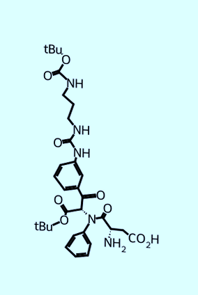 CC(C)(C)OC(=O)NCCCNC(=O)Nc1cccc(C(=O)[C@@H](C(=O)OC(C)(C)C)N(C(=O)[C@@H](N)CC(=O)O)c2ccccc2)c1